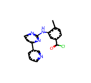 Cc1ccc(C(=O)Cl)cc1Nc1nccc(-c2cccnc2)n1